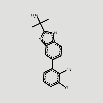 CC(C)(N)c1nc2cc(-c3cccc(Cl)c3C#N)ccc2[nH]1